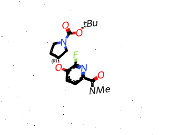 CNC(=O)c1ccc(O[C@@H]2CCN(C(=O)OC(C)(C)C)C2)c(F)n1